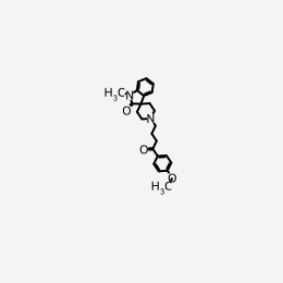 COc1ccc(C(=O)CCCN2CCC3(CC2)C(=O)N(C)c2ccccc23)cc1